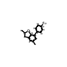 [CH2]C1Cc2cc(C)cc(-c3ccc(F)cc3)c2O1